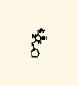 CCCc1nc(Sc2ccccc2)n[nH]1